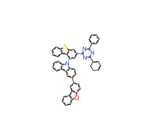 C1=CCCC(c2nc(-c3ccccc3)nc(-c3cc(-n4c5ccccc5c5cc(-c6ccc7oc8ccccc8c7c6)ccc54)c4c(c3)sc3ccccc34)n2)=C1